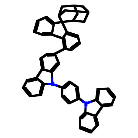 c1ccc2c(c1)-c1c(-c3ccc4c5ccccc5n(-c5ccc(-n6c7ccccc7c7ccccc76)cc5)c4c3)cccc1C21C2CC3CC(C2)CC1C3